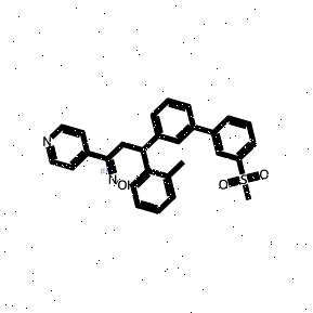 Cc1ccccc1C(C/C(=N\O)c1ccncc1)c1cccc(-c2cccc(S(C)(=O)=O)c2)c1